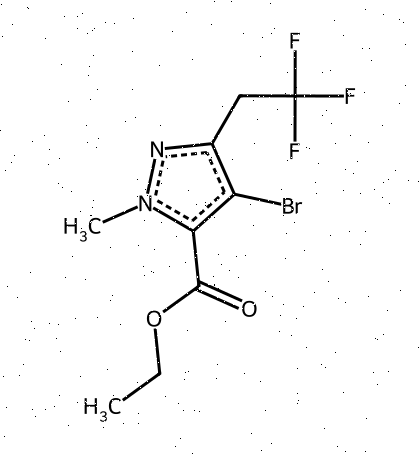 CCOC(=O)c1c(Br)c(CC(F)(F)F)nn1C